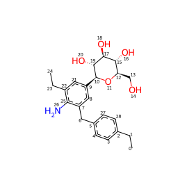 CCc1ccc(Cc2cc([C@@H]3O[C@H](CO)[C@@H](O)[C@H](O)[C@H]3O)cc(CC)c2N)cc1